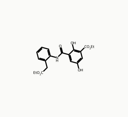 CCOC(=O)Cc1ccccc1NC(=O)c1cc(O)cc(C(=O)OCC)c1O